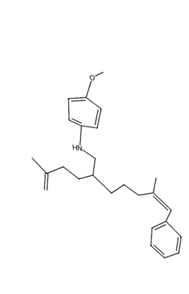 C=C(C)CCC(CCC/C(C)=C\c1ccccc1)CNc1ccc(OC)cc1